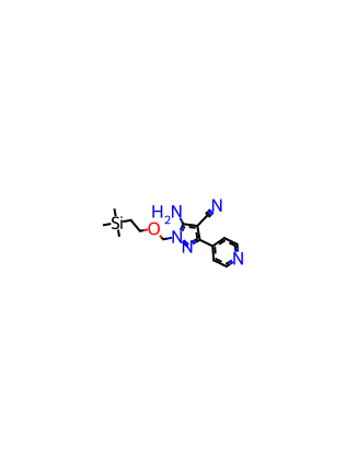 C[Si](C)(C)CCOCn1nc(-c2ccncc2)c(C#N)c1N